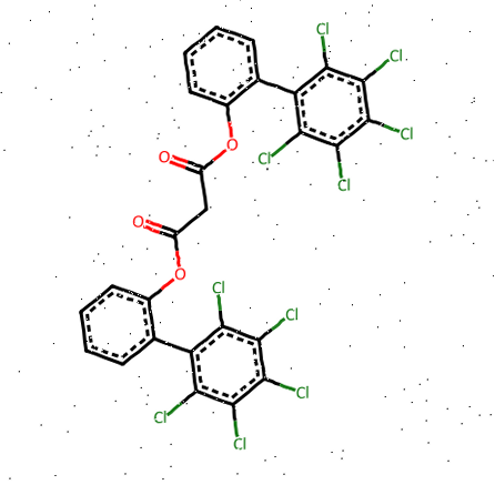 O=C(CC(=O)Oc1ccccc1-c1c(Cl)c(Cl)c(Cl)c(Cl)c1Cl)Oc1ccccc1-c1c(Cl)c(Cl)c(Cl)c(Cl)c1Cl